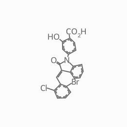 O=C(O)c1ccc(N2C(=O)C(=Cc3c(Cl)cccc3Br)c3ccccc32)cc1O